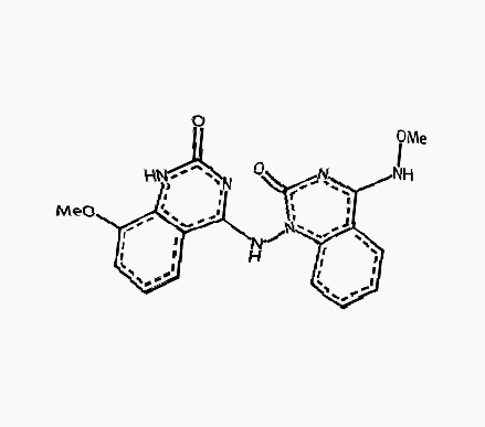 CONc1nc(=O)n(Nc2nc(=O)[nH]c3c(OC)cccc23)c2ccccc12